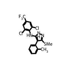 CSc1n[nH]c(Nc2c(Cl)cc(C(F)(F)F)cc2Cl)c1-c1ccccc1C